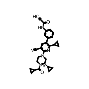 C#CC(=O)Nc1cccc(-c2cc(C#N)c(N3CCN(C(=O)C4CC4)[C@H](C4CC4)C3)nc2C2CC2)c1